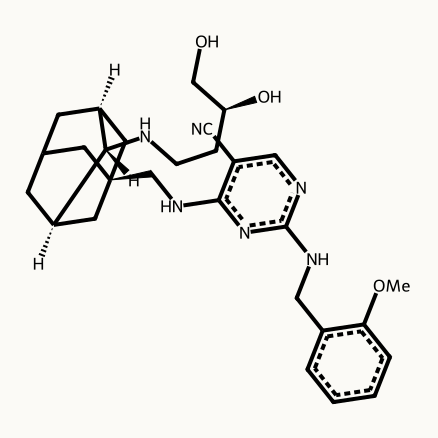 COc1ccccc1CNc1ncc(C#N)c(NC[C@]23CC4C[C@H](C2)[C@@H](NCC[C@H](O)CO)[C@@H](C4)C3)n1